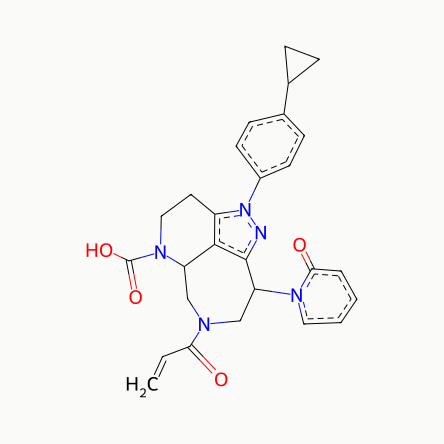 C=CC(=O)N1CC2c3c(nn(-c4ccc(C5CC5)cc4)c3CCN2C(=O)O)C(n2ccccc2=O)C1